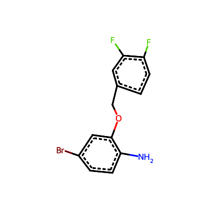 Nc1ccc(Br)cc1OCc1ccc(F)c(F)c1